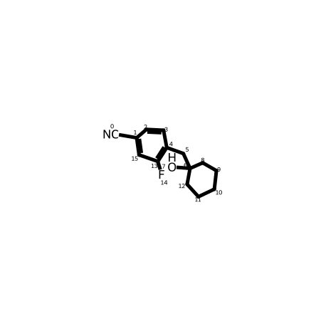 N#Cc1ccc(CC2(O)CCCCC2)c(F)c1